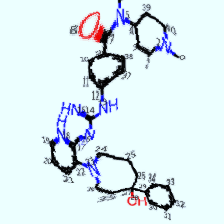 CN1CCC(N(C)C(=O)c2ccc(NC(=N)/N=c3\[nH]cccc3N3CCCC(O)(c4ccccc4)CC3)cc2)CC1